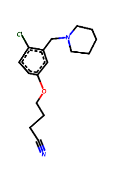 N#CCCCOc1ccc(Cl)c(CN2CCCCC2)c1